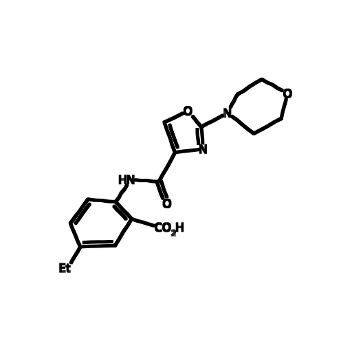 CCc1ccc(NC(=O)c2coc(N3CCOCC3)n2)c(C(=O)O)c1